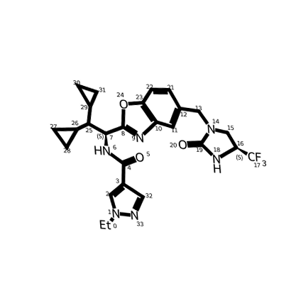 CCn1cc(C(=O)N[C@H](c2nc3cc(CN4C[C@@H](C(F)(F)F)NC4=O)ccc3o2)C(C2CC2)C2CC2)cn1